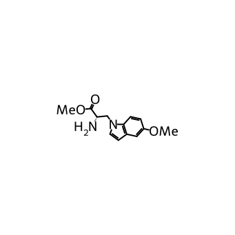 COC(=O)[C@@H](N)Cn1ccc2cc(OC)ccc21